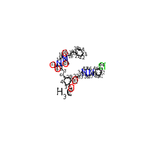 COc1ccc(CCC2OC(=O)N(Cc3coc(/C=C/c4ccccc4)n3)C2=O)cc1OCCCN1CCN(c2cccc(Cl)c2)CC1